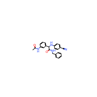 CC(=O)Nc1cccc(C(Nc2ccc(C#N)cc2)C(=O)NCc2ccccc2)c1